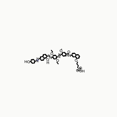 CCOc1cc(N=Nc2ccc3cc(/N=N/c4ccc(O)cc4)ccc3c2O)c(OCC)cc1N=Nc1ccc(C(=O)Nc2ccc3cccc(OCCCCS(=O)(=O)O)c3c2)cc1OC